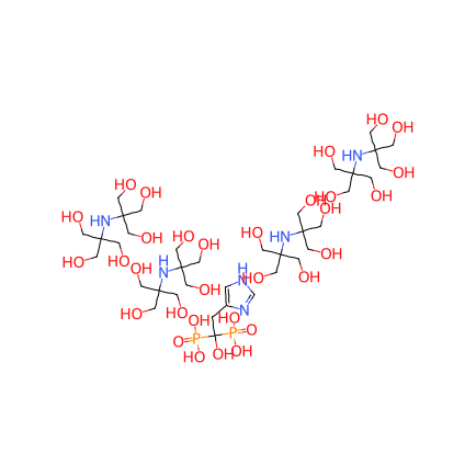 O=P(O)(O)C(O)(Cc1c[nH]cn1)P(=O)(O)O.OCC(CO)(CO)NC(CO)(CO)CO.OCC(CO)(CO)NC(CO)(CO)CO.OCC(CO)(CO)NC(CO)(CO)CO.OCC(CO)(CO)NC(CO)(CO)CO